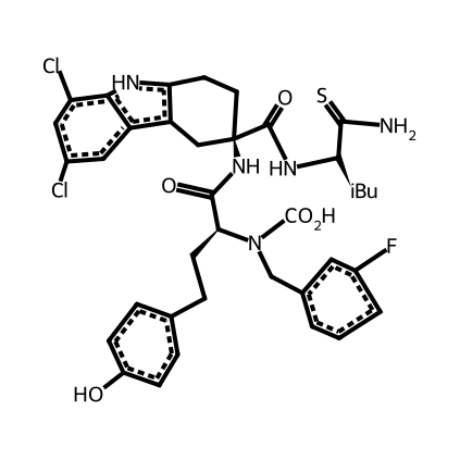 CC[C@H](C)C(NC(=O)[C@@]1(NC(=O)[C@H](CCc2ccc(O)cc2)N(Cc2cccc(F)c2)C(=O)O)CCc2[nH]c3c(Cl)cc(Cl)cc3c2C1)C(N)=S